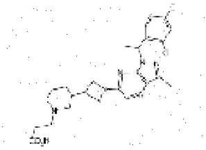 Cc1nn(C(C)c2ccc(Cl)cc2Cl)c2nc(N3CC(C4CCCN(CCC(=O)O)C4)C3)cnc12